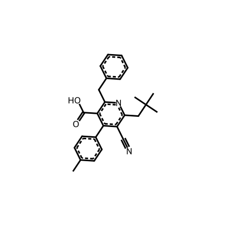 Cc1ccc(-c2c(C#N)c(CC(C)(C)C)nc(Cc3ccccc3)c2C(=O)O)cc1